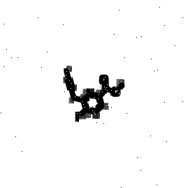 CC#CCc1nc(C(=O)OC)ccc1F